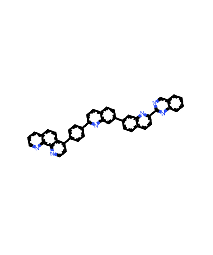 c1ccc2nc(-c3ccc4ccc(-c5ccc6ccc(-c7ccc(-c8ccnc9c8ccc8cccnc89)cc7)nc6c5)cc4n3)ncc2c1